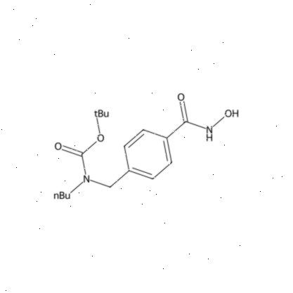 CCCCN(Cc1ccc(C(=O)NO)cc1)C(=O)OC(C)(C)C